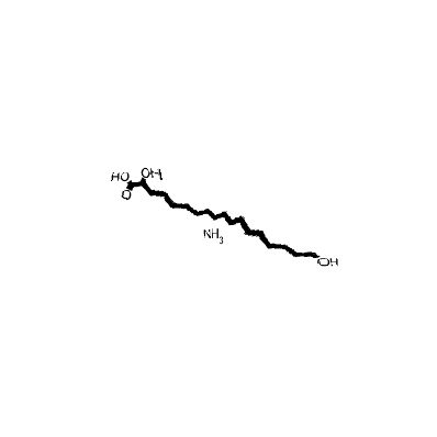 N.O=C(O)C(O)CCCCCCCCCCCCCCCCO